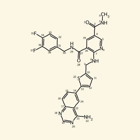 CNC(=O)c1cnc(NCc2ccc(-c3ccc4ncnc(N)c4c3)s2)c(C(=O)NCc2ccc(F)c(F)c2)c1